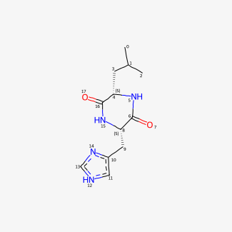 CC(C)C[C@@H]1NC(=O)[C@H](Cc2c[nH]cn2)NC1=O